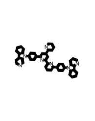 c1ccc(-c2cc(-c3ccc(-n4c5ccccc5c5ccncc54)cc3)nc(-c3cccc(-c4ccc(-n5c6ccccc6c6ncccc65)cc4)n3)c2)nc1